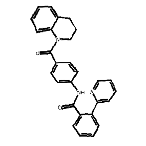 O=C(Nc1ccc(C(=O)N2CCCc3ccccc32)cc1)c1ccccc1-c1ccccn1